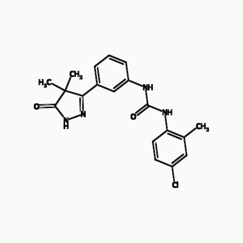 Cc1cc(Cl)ccc1NC(=O)Nc1cccc(C2=NNC(=O)C2(C)C)c1